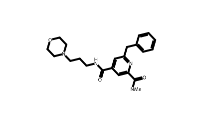 CNC(=O)c1cc(C(=O)NCCCN2CCOCC2)cc(Cc2ccccc2)n1